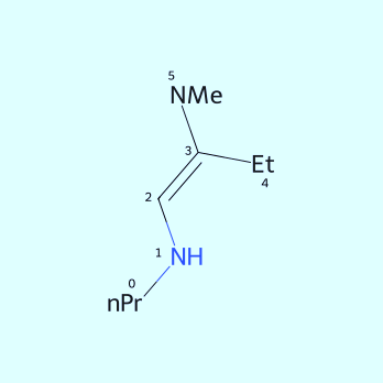 CCCN/C=C(\CC)NC